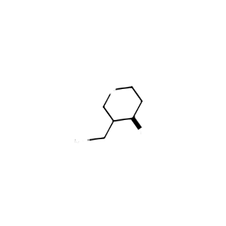 CC(=O)OCC1CSCCC1=O